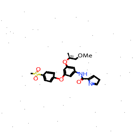 COC[C@H](C)Oc1cc(NC(=O)C2=CCC=N2)cc(Oc2ccc(S(C)(=O)=O)cc2)c1